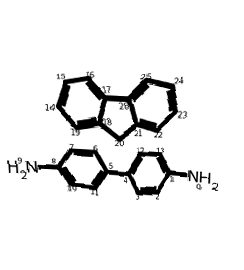 Nc1ccc(-c2ccc(N)cc2)cc1.c1ccc2c(c1)Cc1ccccc1-2